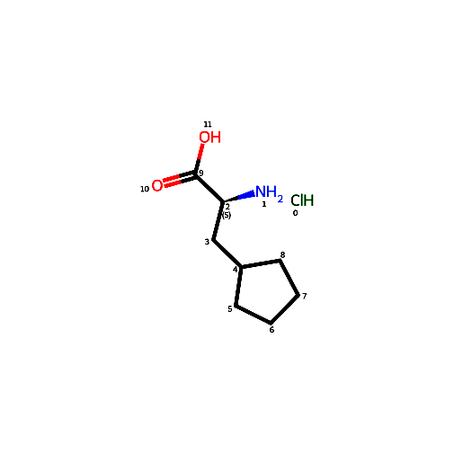 Cl.N[C@@H](CC1CCCC1)C(=O)O